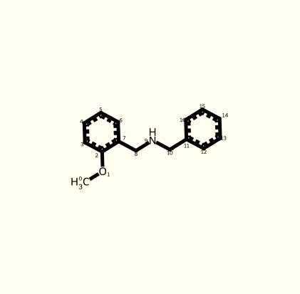 COc1ccccc1CN[CH]c1ccccc1